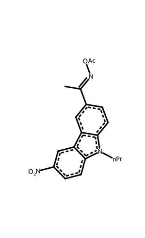 CCCn1c2ccc(/C(C)=N/OC(C)=O)cc2c2cc([N+](=O)[O-])ccc21